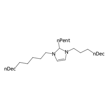 CCCCCCCCCCCCCCCN1C=CN(CCCCCCCCCCCCC)C1CCCCC